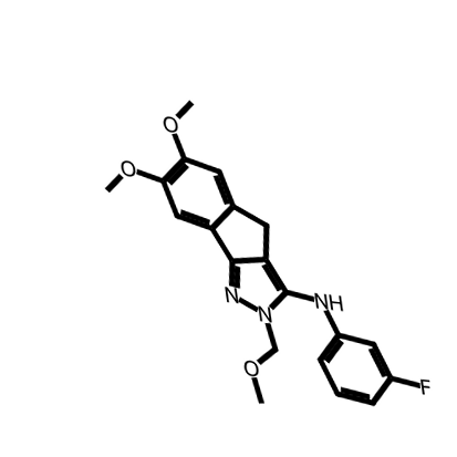 COCn1nc2c(c1Nc1cccc(F)c1)Cc1cc(OC)c(OC)cc1-2